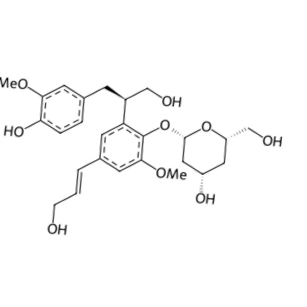 COc1cc(C[C@@H](CO)c2cc(/C=C/CO)cc(OC)c2O[C@H]2C[C@@H](O)C[C@@H](CO)O2)ccc1O